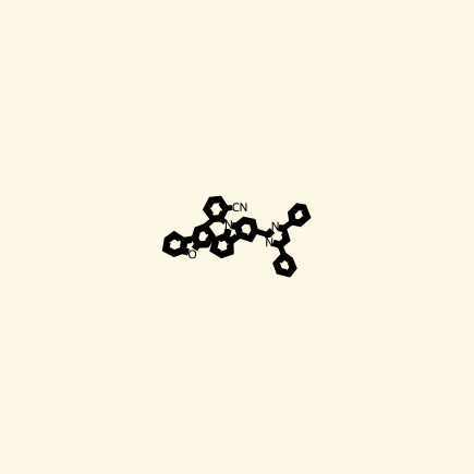 N#Cc1cccc(-c2ccc3oc4ccccc4c3c2)c1-n1c2ccccc2c2cc(-c3nc(-c4ccccc4)cc(-c4ccccc4)n3)ccc21